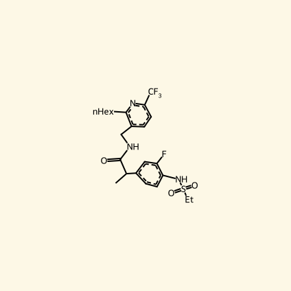 CCCCCCc1nc(C(F)(F)F)ccc1CNC(=O)C(C)c1ccc(NS(=O)(=O)CC)c(F)c1